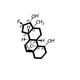 C[C@]12CC[C@H]3[C@@H](CC=C4CCC[C@@H](O)[C@@]43C)[C@@H]1C[C@@H](F)[C@@H]2O